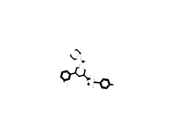 O=C(N1CCOCC1)N1CC(c2cccc(C(F)(F)F)c2)CC(c2nc(-c3ccc(F)cc3)no2)C1